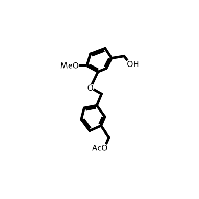 COc1ccc(CO)cc1OCc1cccc(COC(C)=O)c1